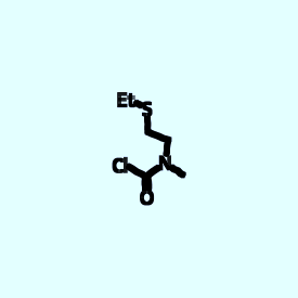 CCSCCN(C)C(=O)Cl